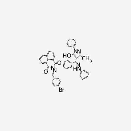 Cc1nn(-c2ccccc2)c(O)c1C(=NNc1ccccc1)c1ccccc1.O=C1c2cccc3cccc(c23)C(=O)N1N=Cc1ccc(Br)cc1